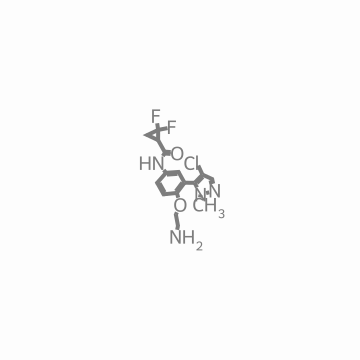 Cn1ncc(Cl)c1-c1cc(NC(=O)C2CC2(F)F)ccc1OCCN